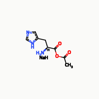 CC(=O)OC(=O)[C@@H](N)Cc1cnc[nH]1.[NaH]